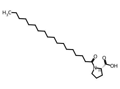 CCCCCCCCCCCCCCCCCC(=O)N1CCC[C@H]1C(=O)O